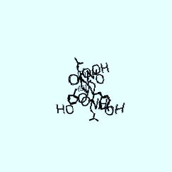 CC(C)CCNC(=O)C(Cc1ccc(O)cc1)N1CC2N(C(=O)O)O[C@H](CC(C)C)C(=O)N2[C@@H](Cc2ccc(O)cc2)C1=O